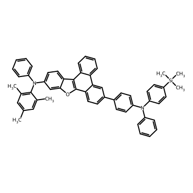 Cc1cc(C)c(N(c2ccccc2)c2ccc3c(c2)oc2c4ccc(-c5ccc(N(c6ccccc6)c6ccc([Si](C)(C)C)cc6)cc5)cc4c4ccccc4c32)c(C)c1